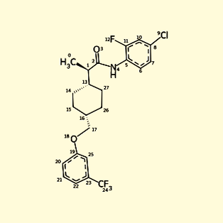 C[C@@H](C(=O)Nc1ccc(Cl)cc1F)[C@H]1CC[C@@H](COc2cccc(C(F)(F)F)c2)CC1